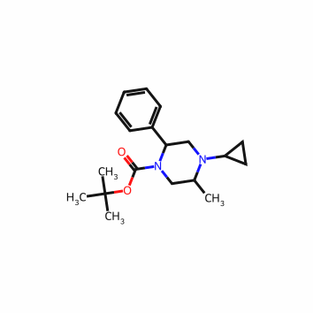 CC1CN(C(=O)OC(C)(C)C)C(c2ccccc2)CN1C1CC1